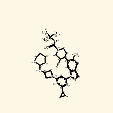 Cc1cc2cnn(-c3cc(N4CC(OC5CCCCO5)C4)nc(C4CC4)n3)c2cc1C1CCN(C(=O)OC(C)(C)C)CC1F